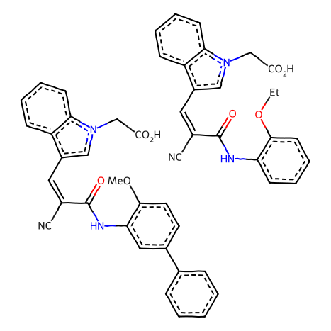 CCOc1ccccc1NC(=O)C(C#N)=Cc1cn(CC(=O)O)c2ccccc12.COc1ccc(-c2ccccc2)cc1NC(=O)C(C#N)=Cc1cn(CC(=O)O)c2ccccc12